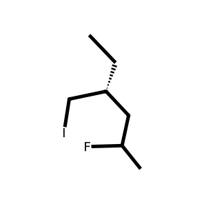 CC[C@@H](CI)CC(C)F